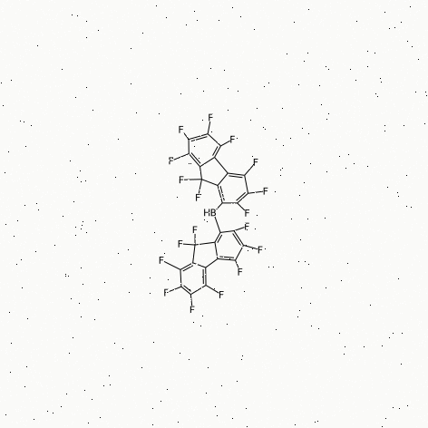 Fc1c(F)c(F)c2c(c1F)-c1c(F)c(F)c(F)c(Bc3c(F)c(F)c(F)c4c3C(F)(F)c3c(F)c(F)c(F)c(F)c3-4)c1C2(F)F